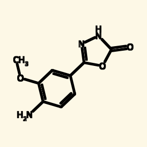 COc1cc(-c2n[nH]c(=O)o2)ccc1N